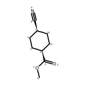 COC(=O)[C@H]1CC[C@@H](C#N)CC1